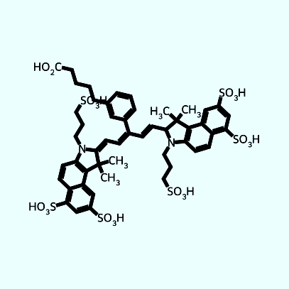 CC1(C)\C(=C/C=C(/C=C/C2N(CCCS(=O)(=O)O)c3ccc4c(S(=O)(=O)O)cc(S(=O)(=O)O)cc4c3C2(C)C)c2cccc(CCCCC(=O)O)c2)N(CCCS(=O)(=O)O)c2ccc3c(S(=O)(=O)O)cc(S(=O)(=O)O)cc3c21